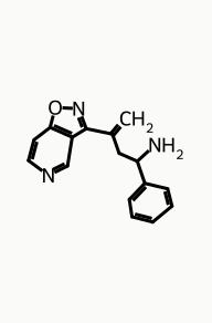 C=C(CC(N)c1ccccc1)c1noc2ccncc12